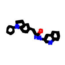 O=C(C=Cc1ccc2c(ccn2C2CCCCC2)c1)Nc1cnc2ccccc2c1